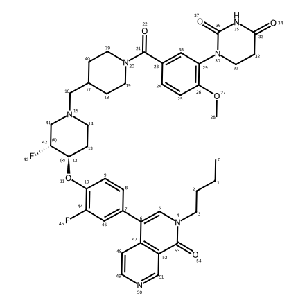 CCCCn1cc(-c2ccc(O[C@@H]3CCN(CC4CCN(C(=O)c5ccc(OC)c(N6CCC(=O)NC6=O)c5)CC4)C[C@H]3F)c(F)c2)c2ccncc2c1=O